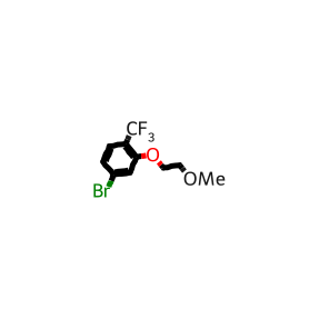 COCCOc1cc(Br)ccc1C(F)(F)F